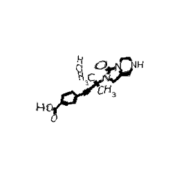 CC(C)(C#Cc1ccc(C(=O)O)cc1)N1CC2CNCCN2C1=O.Cl